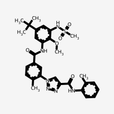 COc1c(NC(=O)c2ccc(C)c(-n3cc(C(=O)Nc4ccccc4C)nn3)c2)cc(C(C)(C)C)cc1NS(C)(=O)=O